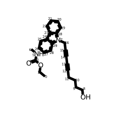 CCOC(=O)NC.OCCCCC#CC#CCn1c2ccccc2c2ccccc21